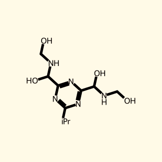 CC(C)c1nc(C(O)NCO)nc(C(O)NCO)n1